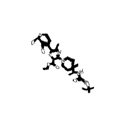 CCOC(=O)c1nc(-c2ccnc(Cl)c2Cl)c(C)nc1N1CCC(C)(C(C)NC(=O)OC(C)(C)C)CC1